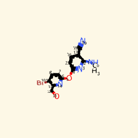 CNc1nc(Oc2ccc(Br)c(C=O)n2)ccc1C#N